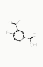 CC(=O)c1cc(C(=O)O)ccc1F